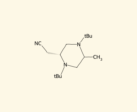 CC1CN(C(C)(C)C)[C@H](CC#N)CN1C(C)(C)C